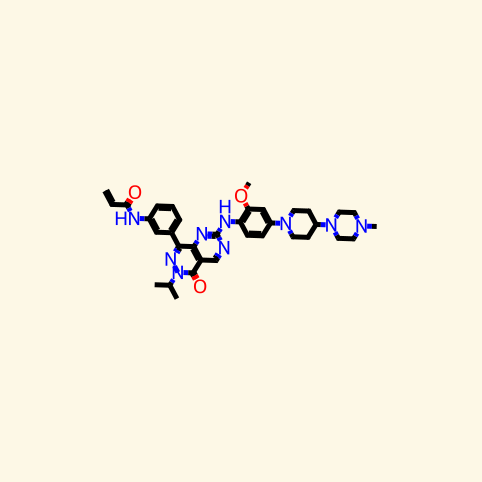 C=CC(=O)Nc1cccc(-c2nn(C(C)C)c(=O)c3cnc(Nc4ccc(N5CCC(N6CCN(C)CC6)CC5)cc4OC)nc23)c1